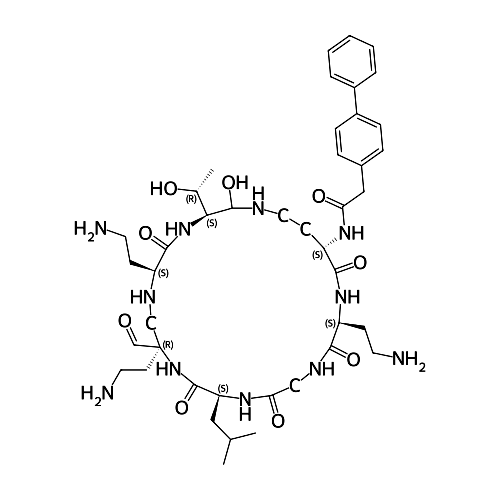 CC(C)C[C@@H]1NC(=O)CNC(=O)[C@H](CCN)NC(=O)[C@@H](NC(=O)Cc2ccc(-c3ccccc3)cc2)CCNC(O)[C@H]([C@@H](C)O)NC(=O)[C@H](CCN)NC[C@@](C=O)(CCN)NC1=O